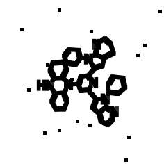 c1ccc(-n2c(-c3cc(N4c5ccccc5Nc5ccccc54)cc(-c4cc5cccnc5n4-c4ccccc4)n3)cc3cccnc32)cc1